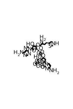 Nc1ccn([C@H]2C[C@H](OP(=O)(O)OC[C@H]3O[C@@H](n4cnc5c(N)ncnc54)[C@H](O)[C@@H]3OC(=O)[C@@H](N)CC[C@H]3CNCS3)[C@@H](COP(=O)(O)O)O2)c(=O)n1